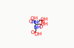 O=C(O)CCNCC(CCC(=O)O)(CCC(=O)O)NCCC(=O)O